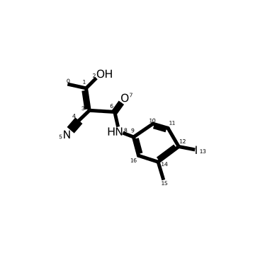 C/C(O)=C(\C#N)C(=O)Nc1ccc(I)c(C)c1